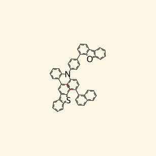 c1ccc(N(c2ccc(-c3cccc4ccccc34)cc2)c2ccc(-c3cccc4c3oc3ccccc34)cc2)c(-c2ccc3sc4ccccc4c3c2)c1